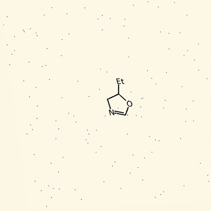 CCC1CN=[C]O1